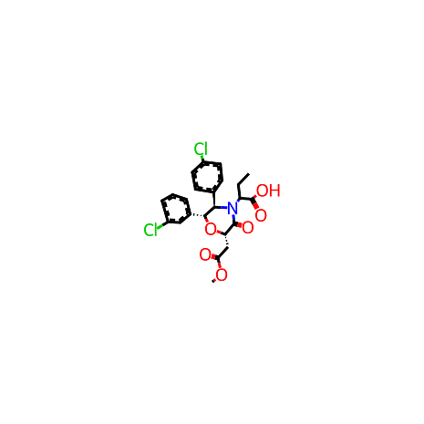 CCC(C(=O)O)N1C(=O)[C@H](CC(=O)OC)O[C@H](c2cccc(Cl)c2)[C@H]1c1ccc(Cl)cc1